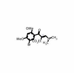 CCOC(=O)/C(=C\N(C)C)C(=O)c1cc(Br)c(OC)cc1OC